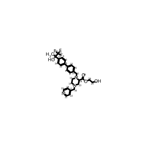 CC(O)(c1ccc(-c2ccc(CN3CCN(Cc4ccncc4)CC3C(=O)OCCO)cc2)cc1)C(F)(F)F